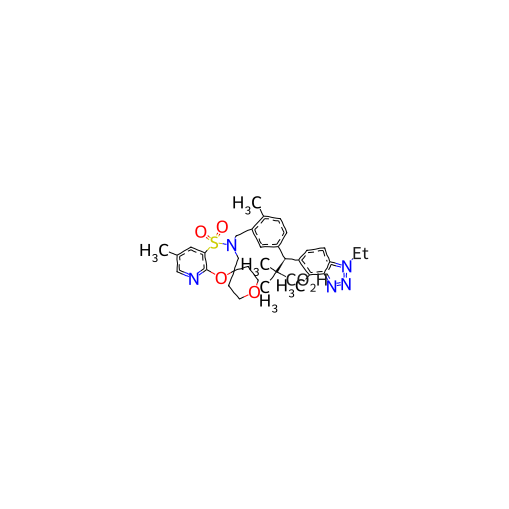 CCn1nnc2c(C)c([C@H](c3ccc(C)c(CN4CC5(CCOCC5)Oc5ncc(C)cc5S4(=O)=O)c3)C(C)(C)C(=O)O)ccc21